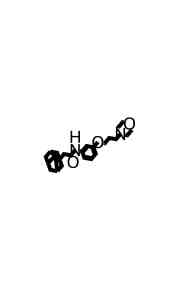 O=C(CC12CC3CC(CC(C3)C1)C2)Nc1cccc(OCCCN2CCOCC2)c1